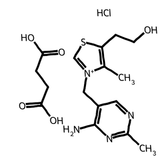 Cc1ncc(C[n+]2csc(CCO)c2C)c(N)n1.Cl.O=C(O)CCC(=O)O